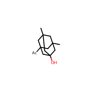 CC(=O)C12CC3(C)CC(C)(CC(O)(C3)C1)C2